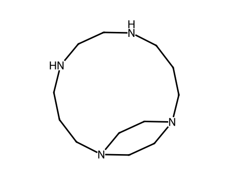 C1CNCCNCCCN2CCN(C1)CC2